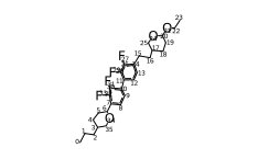 CCCC1CCC(c2ccc(-c3ccc(CCC4CCC(OCC)OC4)c(F)c3F)c(F)c2F)OC1